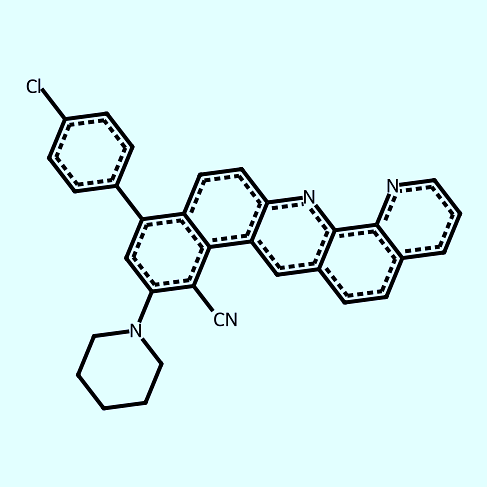 N#Cc1c(N2CCCCC2)cc(-c2ccc(Cl)cc2)c2ccc3nc4c(ccc5cccnc54)cc3c12